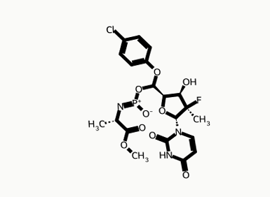 COC(=O)[C@H](C)/N=[P+](\[O-])OC(Oc1ccc(Cl)cc1)[C@@H]1O[C@@H](n2ccc(=O)[nH]c2=O)[C@](C)(F)[C@@H]1O